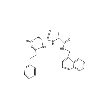 CC(NC(=O)[C@H](CC(=O)O)NC(=O)CCc1ccccc1)C(=O)NCc1cccc2ccccc12